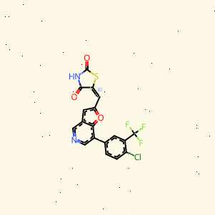 O=C1NC(=O)/C(=C\c2cc3cncc(-c4ccc(Cl)c(C(F)(F)F)c4)c3o2)S1